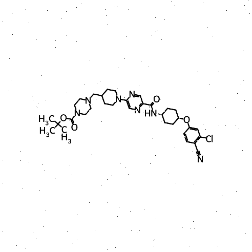 CC(C)(C)OC(=O)N1CCN(CC2CCN(c3cnc(C(=O)N[C@H]4CC[C@H](Oc5ccc(C#N)c(Cl)c5)CC4)cn3)CC2)CC1